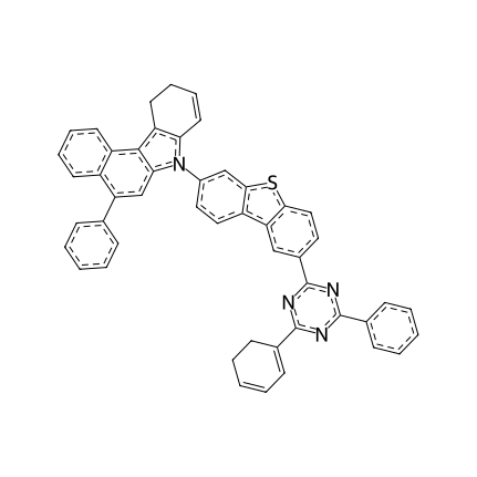 C1=CCCC(c2nc(-c3ccccc3)nc(-c3ccc4sc5cc(-n6c7c(c8c9ccccc9c(-c9ccccc9)cc86)CCC=C7)ccc5c4c3)n2)=C1